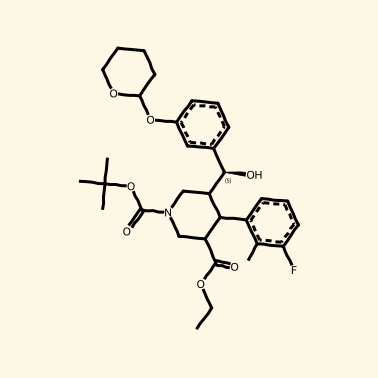 CCOC(=O)C1CN(C(=O)OC(C)(C)C)CC([C@H](O)c2cccc(OC3CCCCO3)c2)C1c1cccc(F)c1C